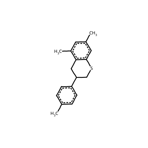 Cc1ccc(C2CSc3cc(C)cc(C)c3C2)cc1